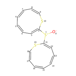 [O-][S+](c1cccccccs1)c1cccccccs1